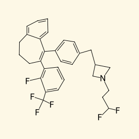 Fc1c(C2=C(c3ccc(CC4CN(CCC(F)F)C4)cc3)c3ccccc3CCC2)cccc1C(F)(F)F